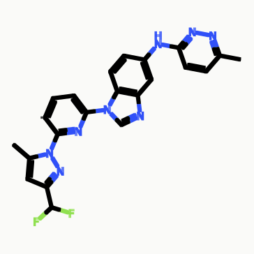 Cc1ccc(Nc2ccc3c(c2)ncn3-c2cc[c]c(-n3nc(C(F)F)cc3C)n2)nn1